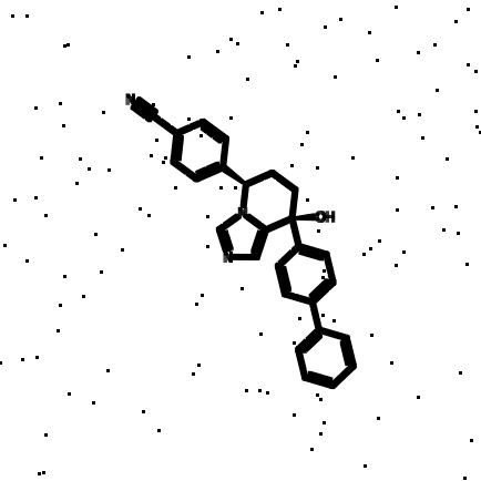 N#Cc1ccc([C@H]2CC[C@](O)(c3ccc(-c4ccccc4)cc3)c3cncn32)cc1